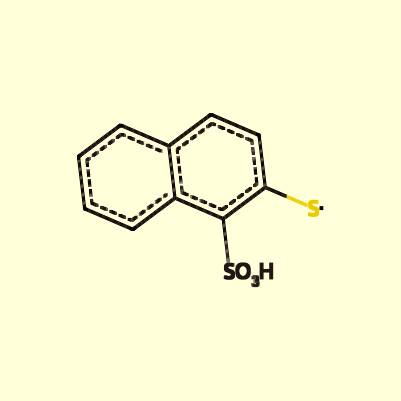 O=S(=O)(O)c1c([S])ccc2ccccc12